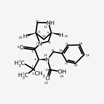 CC(C)(C)[C@@H](C(=O)N1C[C@@H]2C[C@H]1CN2)N(Cc1ccccc1)C(=O)O